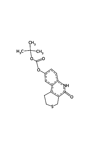 CC(C)(C)OC(=O)Oc1ccc2[nH]c(=O)c3c(c2c1)CCSC3